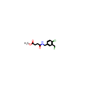 COC(=O)CCC(=O)NCc1ccc(Cl)c(CF)c1